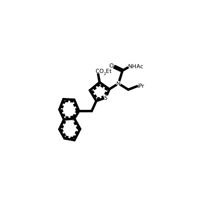 CCOC(=O)c1cc(Cc2cccc3ccccc23)sc1N(CC(C)C)C(=O)NC(C)=O